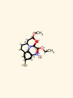 CCOC(=O)C(=O)N1c2c(cc(Br)cc2[N+](=O)[O-])CCC1CC(=O)OC